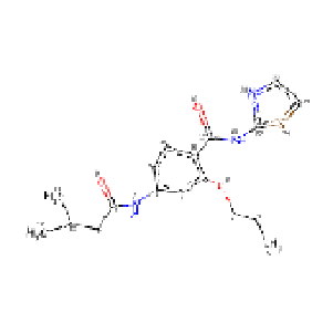 CCCOc1cc(NC(=O)CC(C)C)ccc1C(=O)Nc1nccs1